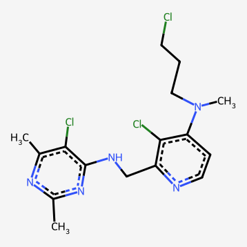 Cc1nc(C)c(Cl)c(NCc2nccc(N(C)CCCCl)c2Cl)n1